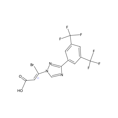 O=C(O)/C=C(\Br)n1cnc(-c2cc(C(F)(F)F)cc(C(F)(F)F)c2)n1